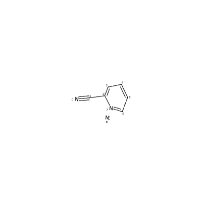 N#Cc1ccccn1.[N]